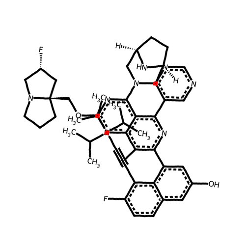 CC(C)[Si](C#Cc1c(F)ccc2cc(O)cc(-c3nc(-c4cncnc4)c4c(N5C[C@H]6CC[C@@H](C5)N6)nc(OC[C@@]56CCCN5C[C@H](F)C6)nc4c3F)c12)(C(C)C)C(C)C